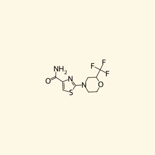 NC(=O)c1csc(N2CCOC(C(F)(F)F)C2)n1